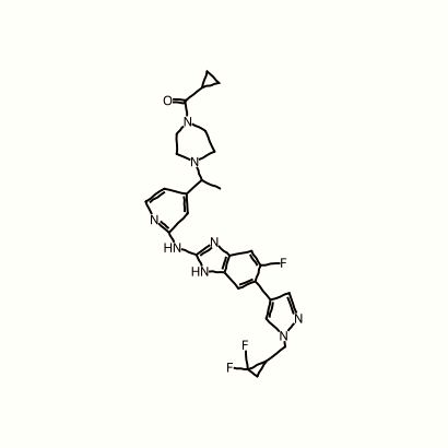 CC(c1ccnc(Nc2nc3cc(F)c(-c4cnn(CC5CC5(F)F)c4)cc3[nH]2)c1)N1CCN(C(=O)C2CC2)CC1